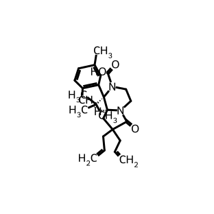 C=CCC1(CC=C)C[C@@H]2N(CCN(C(=O)O)[C@@]2(c2cc(C)ccc2C)C(C)(C)C)C1=O